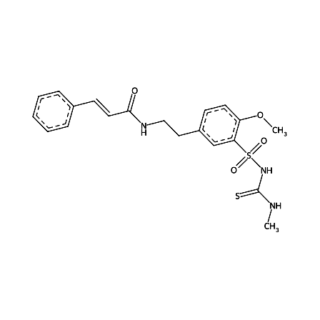 CNC(=S)NS(=O)(=O)c1cc(CCNC(=O)/C=C/c2ccccc2)ccc1OC